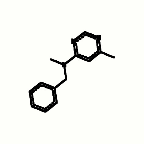 Cc1cc(N(C)Cc2ccccc2)ncn1